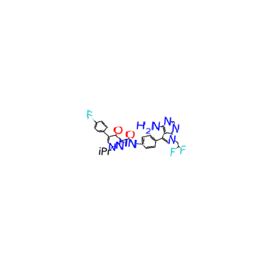 CC(C)n1cc(-c2ccc(F)cc2)c(=O)c(C(=O)Nc2ccc(-c3cn(CC(F)F)c4ncnc(N)c34)cc2)n1